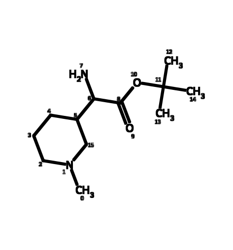 CN1CCCC(C(N)C(=O)OC(C)(C)C)C1